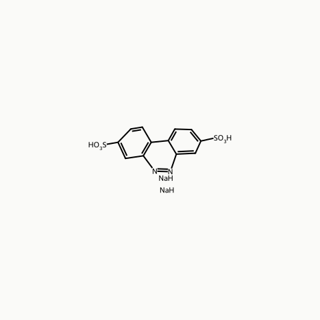 O=S(=O)(O)c1ccc2c(c1)nnc1cc(S(=O)(=O)O)ccc12.[NaH].[NaH]